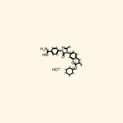 Cc1nn(-c2ccc(C(=N)N)cc2)c(=O)n1-c1ccc(CC(C)C(=O)OC2CCCCC2)cc1.Cl